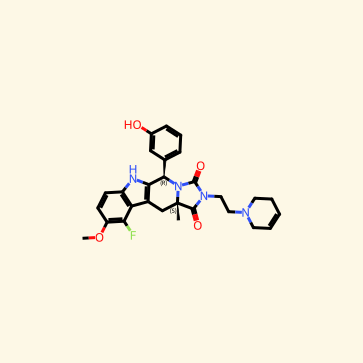 COc1ccc2[nH]c3c(c2c1F)C[C@@]1(C)C(=O)N(CCN2CC=CCC2)C(=O)N1[C@@H]3c1cccc(O)c1